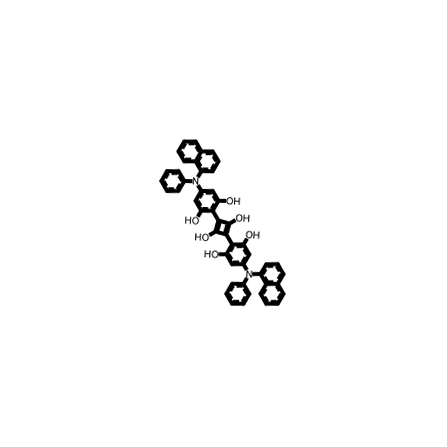 OC1=C(c2c(O)cc(N(c3ccccc3)c3cccc4ccccc34)cc2O)C(O)=C1c1c(O)cc(N(c2ccccc2)c2cccc3ccccc23)cc1O